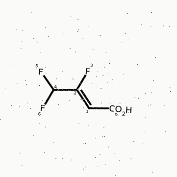 O=C(O)C=C(F)C(F)F